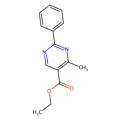 CCOC(=O)c1[c]nc(-c2ccccc2)nc1C